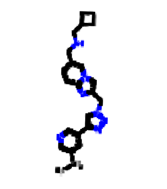 C[SiH2]c1cncc(-c2cn(Cc3cn4cc(CNCC5CCC5)ccc4n3)nn2)c1